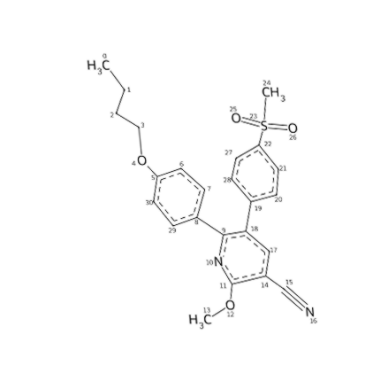 CCCCOc1ccc(-c2nc(OC)c(C#N)cc2-c2ccc(S(C)(=O)=O)cc2)cc1